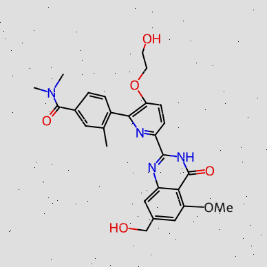 COc1cc(CO)cc2nc(-c3ccc(OCCO)c(-c4ccc(C(=O)N(C)C)cc4C)n3)[nH]c(=O)c12